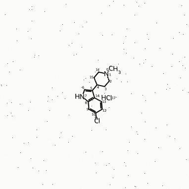 CN1CCC(c2c[nH]c3cc(Cl)ccc23)CC1.Cl